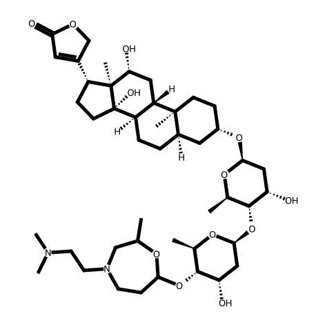 CC1CN(CCN(C)C)CCC(O[C@H]2[C@@H](O)C[C@H](O[C@H]3[C@@H](O)C[C@H](O[C@H]4CC[C@@]5(C)[C@H](CC[C@@H]6[C@@H]5C[C@@H](O)[C@]5(C)[C@@H](C7=CC(=O)OC7)CC[C@]65O)C4)O[C@@H]3C)O[C@@H]2C)O1